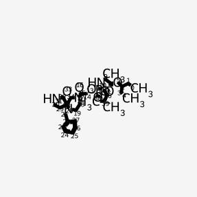 CCC(CC)OC(=O)C(C)NP(=O)(OCC(=O)N1CCN(Cc2ccccc2)C2(CCNC2=O)C1)OCC(C)C